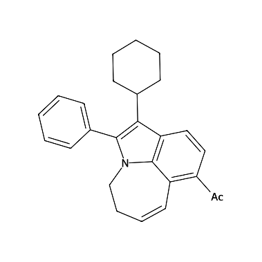 CC(=O)c1ccc2c(C3CCCCC3)c(-c3ccccc3)n3c2c1C=CCC3